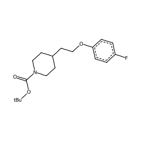 CC(C)(C)OC(=O)N1CCC(CCOc2ccc(F)cc2)CC1